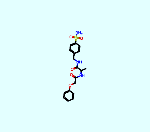 CC(NC(=O)COc1ccccc1)C(=O)NCc1ccc(S(N)(=O)=O)cc1